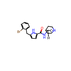 O=C(N[C@H]1CN2CCC1CC2)c1ccc(Cc2ccccc2Br)[nH]1